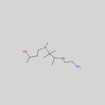 CC(O)CCN(C)C(C)(C)C(C)NCCN